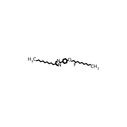 CCCCCCCCCCc1cnc(-c2ccc(OCCC(F)CCCCCCCC)cc2)nc1